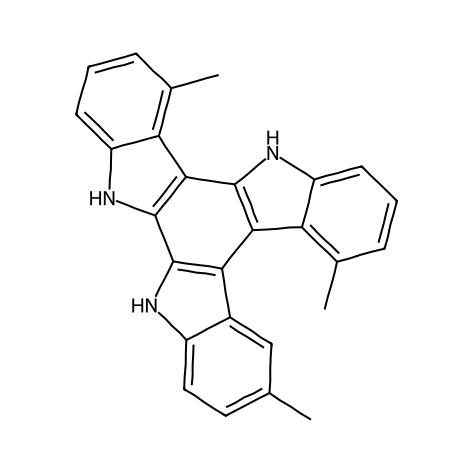 Cc1ccc2[nH]c3c4[nH]c5cccc(C)c5c4c4[nH]c5cccc(C)c5c4c3c2c1